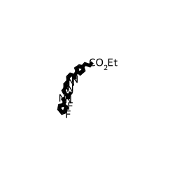 CCOC(=O)CCc1ccc(-c2ccc(Cn3cc4nc(-c5cccc(F)c5F)nc-4cn3)nn2)cc1